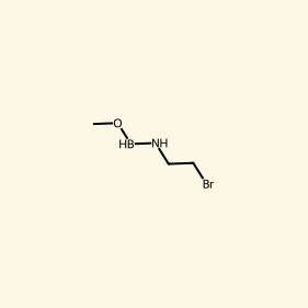 COBNCCBr